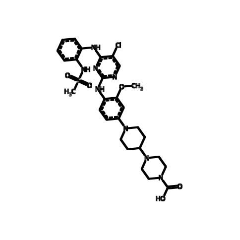 COc1cc(N2CCC(N3CCN(C(=O)O)CC3)CC2)ccc1Nc1ncc(Cl)c(Nc2ccccc2NS(C)(=O)=O)n1